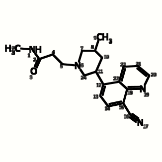 CNC(=O)CCN1CC(C)CC(c2ccc(C#N)c3ncccc23)C1